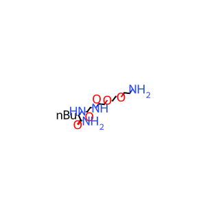 CCCC[C@H](NC(=O)CNC(=O)COCCOCCN)C(N)=O